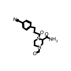 N#Cc1ccc(C[CH]C(=O)N2CCN(C=O)CC2C(N)=O)cc1